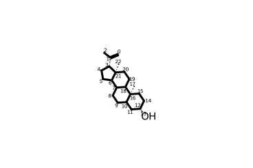 C=C(C)[C@H]1CCC2C3CCC4C[C@@H](O)CC[C@]4(C)C3CC[C@@]21C